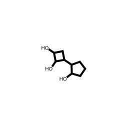 OC1CCC[C]1C1CC(O)C1O